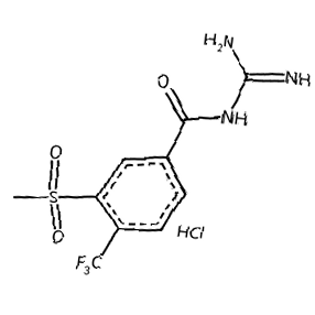 CS(=O)(=O)c1cc(C(=O)NC(=N)N)ccc1C(F)(F)F.Cl